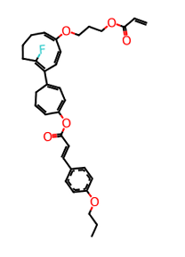 C=CC(=O)OCCCOC1=C/CCC/C(F)=C(C2=CC=C(OC(=O)/C=C/c3ccc(OCCC)cc3)C=CC2)/C=C\1